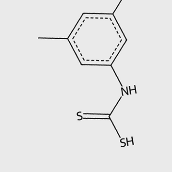 Cc1cc(C)cc(NC(=S)S)c1